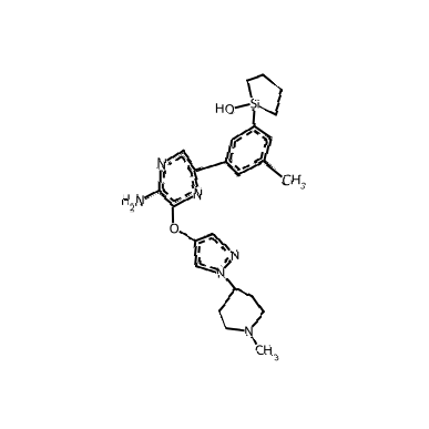 Cc1cc(-c2cnc(N)c(Oc3cnn(C4CCN(C)CC4)c3)n2)cc([Si]2(O)CCCC2)c1